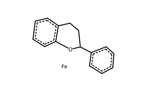 [Fe].c1ccc(C2CCc3ccccc3O2)cc1